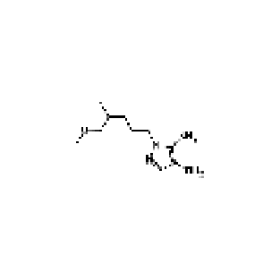 COCC(C)CCCn1ncc(N)c1N